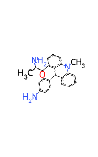 CC(N)C(=O)c1cccc2c1C(c1ccc(N)cc1)c1ccccc1N2C